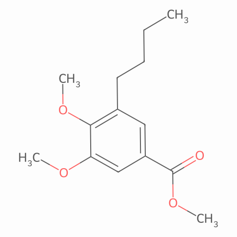 CCCCc1cc(C(=O)OC)cc(OC)c1OC